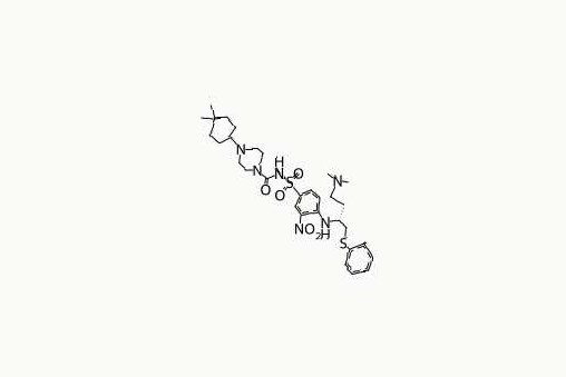 CN(C)CC[C@H](CSc1ccccc1)Nc1ccc(S(=O)(=O)NC(=O)N2CCN(C3CCC(C)(C)CC3)CC2)cc1[N+](=O)[O-]